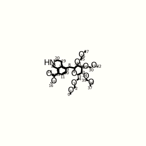 COCOC[C@H]1OC(Cc2ccc(C(=O)OC)c3c2CCNC3)[C@H](OCOC)[C@@H](OCOC)[C@@H]1OCOC